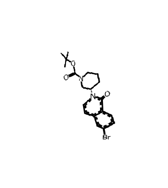 CC(C)(C)OC(=O)N1CCC[C@H](n2ccc3cc(Br)ccc3c2=O)C1